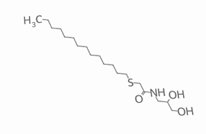 CCCCCCCCCCCCCCSCC(=O)NCC(O)CO